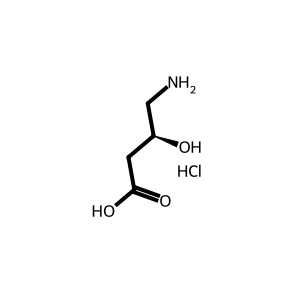 Cl.NC[C@@H](O)CC(=O)O